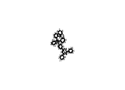 O=P1(c2ccccc2)c2ccccc2-c2c(n(-c3ccc(-c4cc(C5CCCCC5)nc(-c5ccccc5)n4)cc3)c3ccccc23)-c2ccccc21